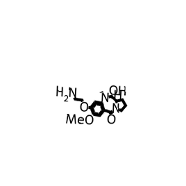 COc1cc2c(cc1OCCN)N(C)[C@@H](O)[C@@H]1CCCN1C2=O